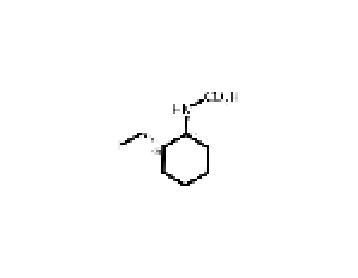 O=C(O)N[C@H]1CCCC[C@@H]1CI